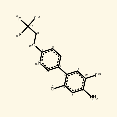 Nc1cc(Cl)c(-c2ccc(OCC(F)(F)F)nc2)cc1F